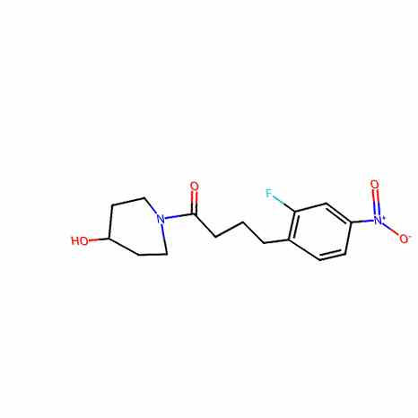 O=C(CCCc1ccc([N+](=O)[O-])cc1F)N1CCC(O)CC1